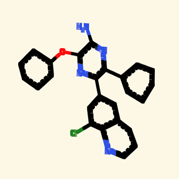 Nc1nc(-c2ccccc2)c(-c2cc(Cl)c3ncccc3c2)nc1Oc1ccccc1